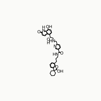 O=C(NCCCc1cccc(C2(C(=O)O)CCCCC2)c1)c1ccc(CNC[C@H](O)c2ccc(O)c3[nH]c(=O)ccc23)nc1